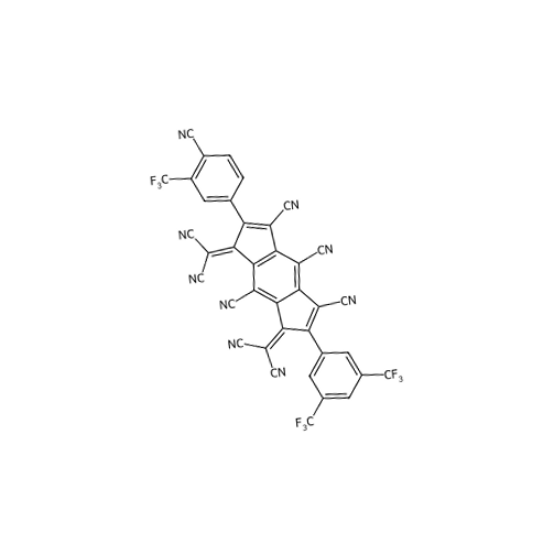 N#CC(C#N)=C1C(c2cc(C(F)(F)F)cc(C(F)(F)F)c2)=C(C#N)c2c(C#N)c3c(c(C#N)c21)C(=C(C#N)C#N)C(c1ccc(C#N)c(C(F)(F)F)c1)=C3C#N